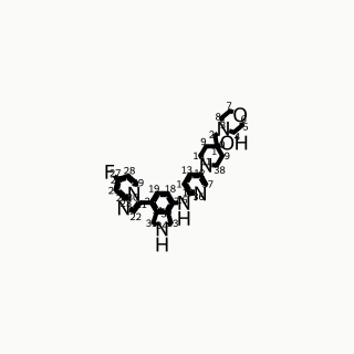 OC1(CN2CCOCC2)CCN(c2ccc(Nc3ccc(-c4cnc5cc(F)ccn45)c4c3CNC4)nc2)CC1